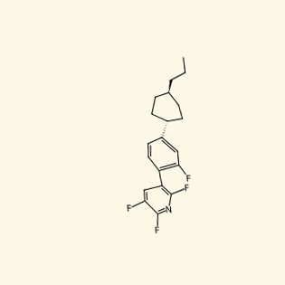 CCC[C@H]1CC[C@H](c2ccc(-c3cc(F)c(F)nc3F)c(F)c2)CC1